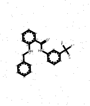 O=C(Nc1cccc(C(F)(F)F)c1)c1ccccc1NCc1ccccc1